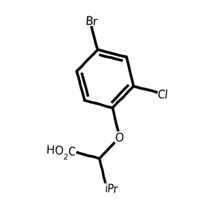 CC(C)C(Oc1ccc(Br)cc1Cl)C(=O)O